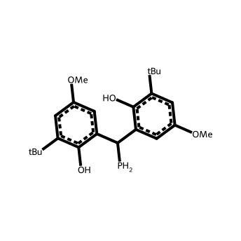 COc1cc(C(P)c2cc(OC)cc(C(C)(C)C)c2O)c(O)c(C(C)(C)C)c1